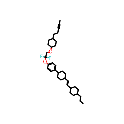 CC#CCCC1CCC(OCC(F)(F)Oc2ccc(C3CCC(/C=C/C4CCC(CCC)CC4)CC3)cc2)CC1